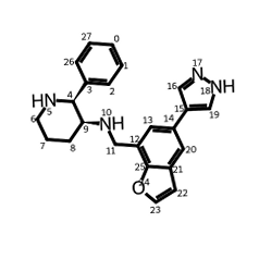 c1ccc([C@@H]2NCCC[C@@H]2NCc2cc(-c3cn[nH]c3)cc3ccoc23)cc1